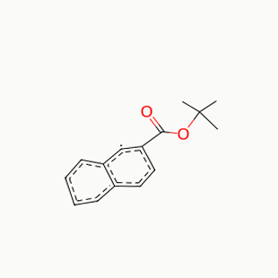 CC(C)(C)OC(=O)c1[c]c2ccccc2cc1